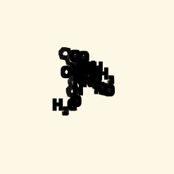 COc1ccc(CC(NC(=O)C(NC(=O)CN2CCOCC2)C(C)O)C(=O)NC(CC2=CCCCC2)C(=O)C2(C)CO2)cc1